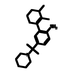 CC1=C(c2cc(C(C)(C)N3CCCCC3)ccc2N)CCCC1C